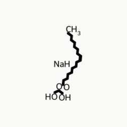 CCCCCCCC/C=C\CCCCCCCC(=O)OC(CO)CO.[NaH]